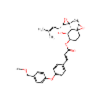 CC(C)=CC[C@@H]1OC1(C)[C@H]1[C@H](O)[C@H](OC(=O)/C=C/c2ccc(Oc3ccc(COC(C)C)cc3)cc2)CC[C@]12CO2